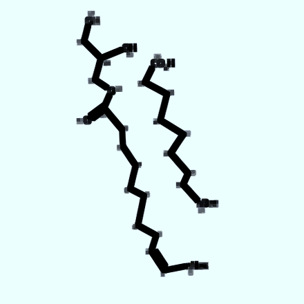 CCCCCC/C=C\CCCCCCCC(=O)OCC(O)CO.CCCCCCCCCCCCCCCCCC(=O)O